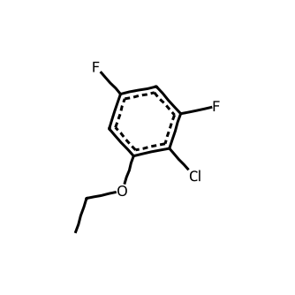 CCOc1cc(F)cc(F)c1Cl